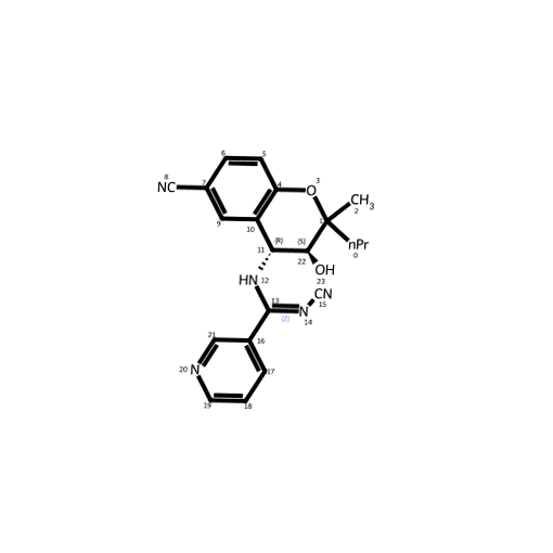 CCCC1(C)Oc2ccc(C#N)cc2[C@@H](N/C(=N\C#N)c2cccnc2)[C@@H]1O